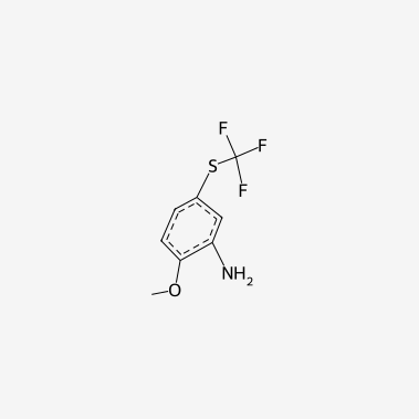 COc1ccc(SC(F)(F)F)cc1N